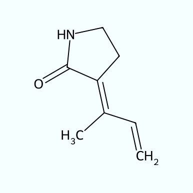 C=CC(C)=C1CCNC1=O